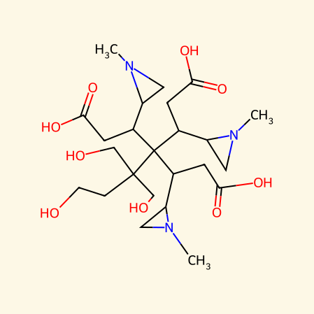 CN1CC1C(CC(=O)O)C(C(CC(=O)O)C1CN1C)(C(CC(=O)O)C1CN1C)C(CO)(CO)CCO